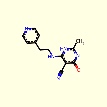 Cc1nc(=O)c(C#N)c(NCCc2ccncc2)[nH]1